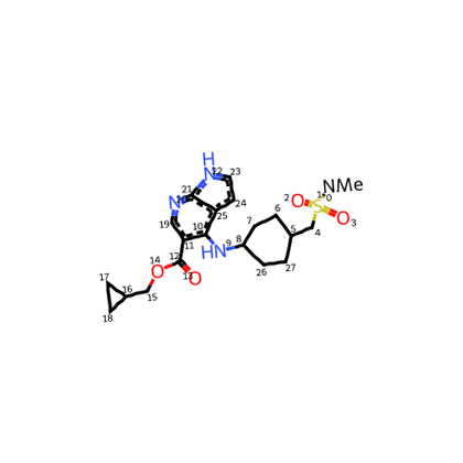 CNS(=O)(=O)CC1CCC(Nc2c(C(=O)OCC3CC3)cnc3[nH]ccc23)CC1